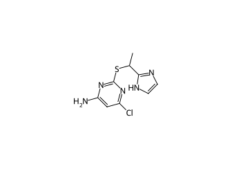 CC(Sc1nc(N)cc(Cl)n1)c1ncc[nH]1